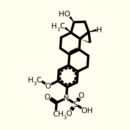 COc1cc2c(cc1N(C(C)=O)S(=O)(=O)O)CCC1=C2CC[C@]2(C)[C@@H](O)C[C@@H]3C[C@@]132